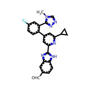 Cn1cnnc1-c1cc(F)ccc1-c1cc(-c2nc3cc(C=O)ccc3[nH]2)nc(C2CC2)c1